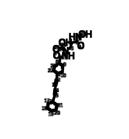 O=C(CCN(NC(=O)c1ccc(C#CC#Cc2ccccc2)cc1)C(=O)O)NO